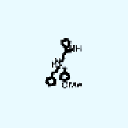 COc1ccc(Cn2c(CCc3ccccc3)nnc2CCc2c[nH]c3ccccc23)cc1